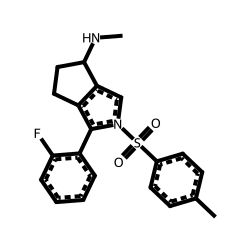 CNC1CCc2c1cn(S(=O)(=O)c1ccc(C)cc1)c2-c1ccccc1F